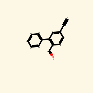 C#Cc1ccc([C]=O)c(-c2ccccc2)c1